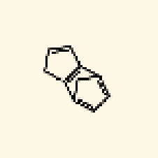 [C]1=C2CC(=C1)C1=C2C=CC1